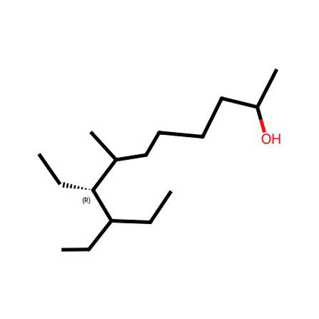 CCC(CC)[C@H](CC)C(C)CCCCC(C)O